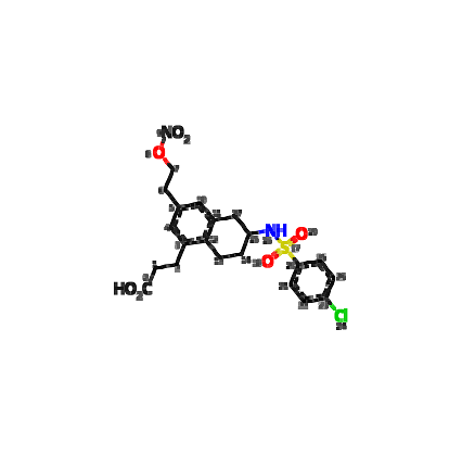 O=C(O)CCc1cc(CCO[N+](=O)[O-])cc2c1CCC(NS(=O)(=O)c1ccc(Cl)cc1)C2